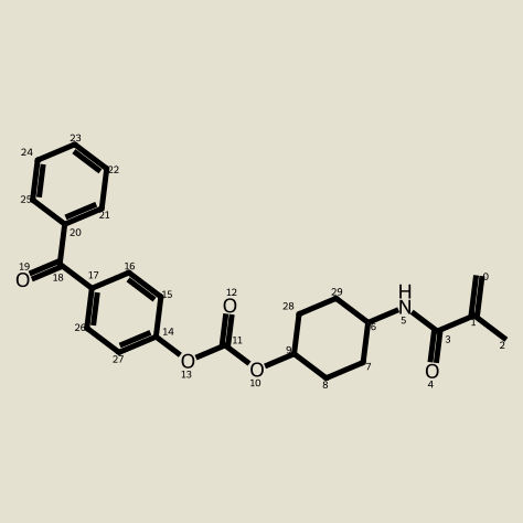 C=C(C)C(=O)NC1CCC(OC(=O)Oc2ccc(C(=O)c3ccccc3)cc2)CC1